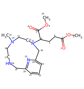 COC(=O)CCC(C(=O)OC)N1CCN(C)CCNCc2cccc(n2)C1